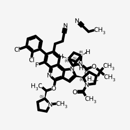 CC(=O)N1CCC[C@@H]1c1cc2c(OC(C)[C@@H]3CCCN3C)nc3c(F)c(-c4cccc(Cl)c4Cl)c(CCC#N)cc3c2n1[C@H]1[C@@H]2C[C@H]1N(C(=O)OC(C)(C)C)C2.CCC#N